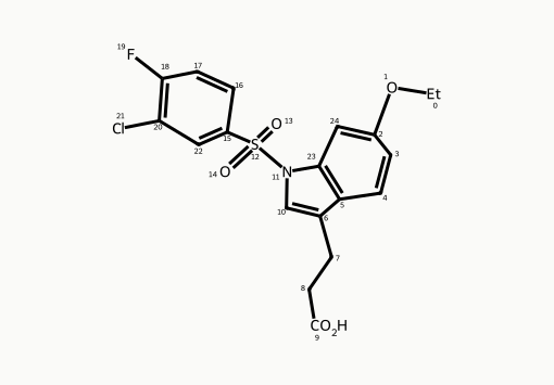 CCOc1ccc2c(CCC(=O)O)cn(S(=O)(=O)c3ccc(F)c(Cl)c3)c2c1